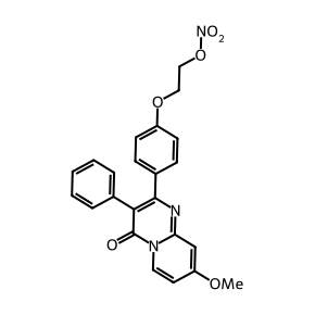 COc1ccn2c(=O)c(-c3ccccc3)c(-c3ccc(OCCO[N+](=O)[O-])cc3)nc2c1